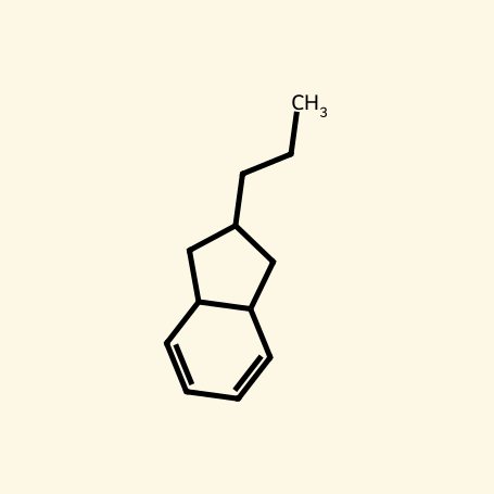 CCCC1CC2C=CC=CC2C1